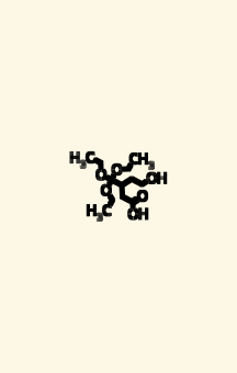 CCOC(OCC)(OCC)C(CCO)CC(=O)O